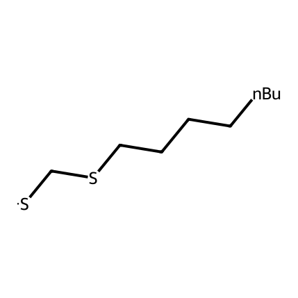 CCCCCCCCSC[S]